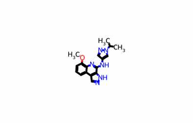 COc1cccc2c1nc(Nc1cnn(C(C)C)c1)c1[nH]ncc12